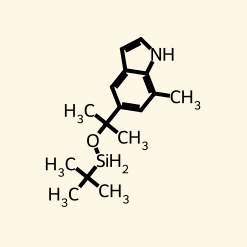 Cc1cc(C(C)(C)O[SiH2]C(C)(C)C)cc2cc[nH]c12